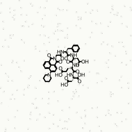 O=C(O)CC[C@H](NC(=O)[C@H](CC(=O)O)NC(=O)[C@H](Cc1ccccc1)NC(=O)CN1C(=O)c2cccc3c(N4CCCCC4)ccc(c23)C1=O)C(=O)N[C@@H](CC(=O)O)C(=O)O